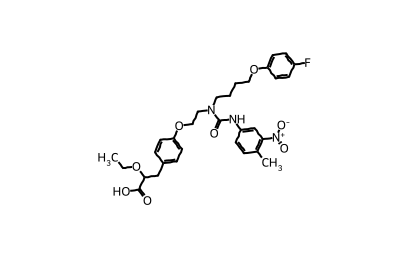 CCOC(Cc1ccc(OCCN(CCCCOc2ccc(F)cc2)C(=O)Nc2ccc(C)c([N+](=O)[O-])c2)cc1)C(=O)O